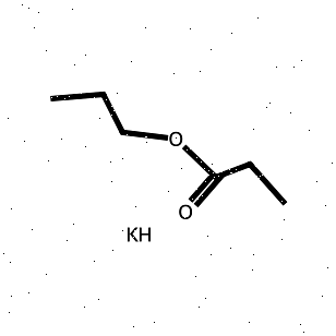 CCCOC(=O)CC.[KH]